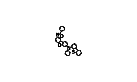 C1=CCC2C(=C1)Sc1c2cccc1N(c1ccccc1)c1ccc2c(c1)oc1ccc3nc(-c4ccccc4)oc3c12